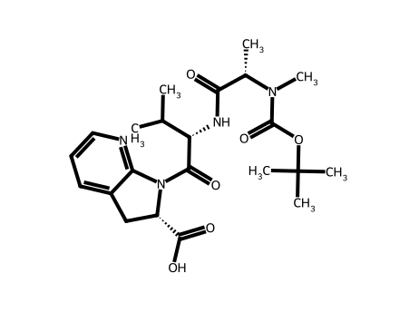 CC(C)[C@H](NC(=O)[C@H](C)N(C)C(=O)OC(C)(C)C)C(=O)N1c2ncccc2C[C@H]1C(=O)O